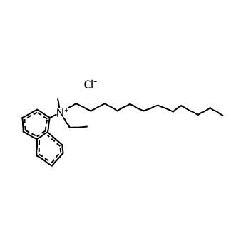 CCCCCCCCCCCC[N+](C)(CC)c1cccc2ccccc12.[Cl-]